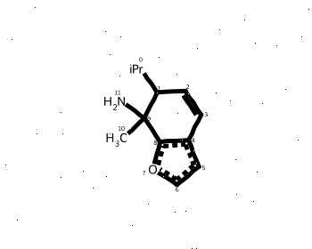 CC(C)C1C=Cc2ccoc2C1(C)N